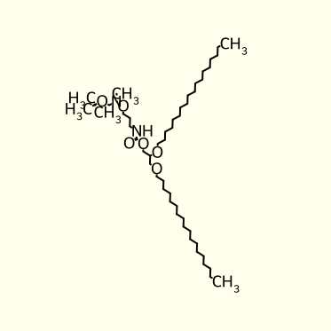 CCCCCCCCCCCCCCCCCCOCC(COC(=O)NCCCON(C)COC(C)(C)C)OCCCCCCCCCCCCCCCCCC